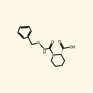 O=C(O)[C@@H]1CCCCN1C(=O)NOCc1ccccc1